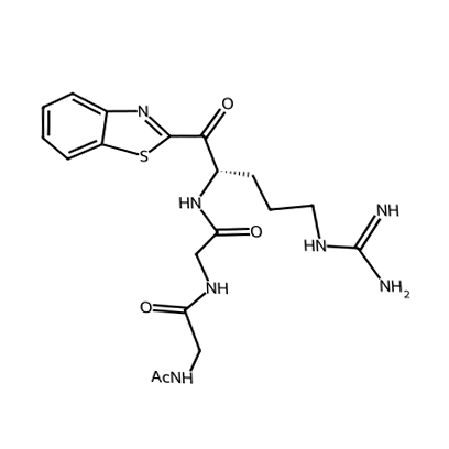 CC(=O)NCC(=O)NCC(=O)N[C@@H](CCCNC(=N)N)C(=O)c1nc2ccccc2s1